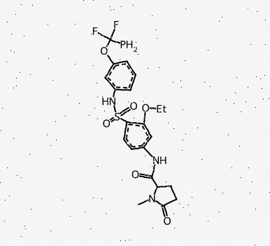 CCOc1cc(NC(=O)C2CCC(=O)N2C)ccc1S(=O)(=O)Nc1cccc(OC(F)(F)P)c1